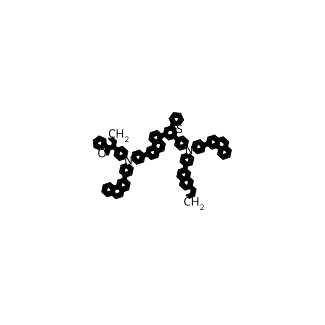 C=C/C=C\c1ccc2ccc(-c3ccc(N(c4ccc(C5=CC(c6cccc7c6ccc6ccc(-c8ccc(N(c9ccc(-c%10ccc%11ccc%12ccccc%12c%11c%10)cc9)c9ccc(C(CC=C)c%10coc%11ccccc%10%11)cc9)cc8)cc67)Cc6c5sc5ccccc65)cc4)c4ccc(-c5ccc6ccc7ccccc7c6c5)cc4)cc3)cc2c1